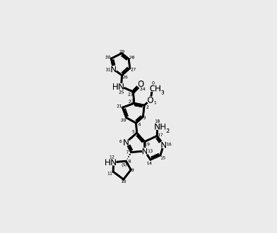 COc1cc(-c2nc([C@@H]3CCCN3)n3ccnc(N)c23)ccc1C(=O)Nc1ccccn1